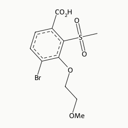 COCCOc1c(Br)ccc(C(=O)O)c1S(C)(=O)=O